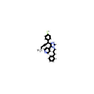 CCC#CC(c1ccc(F)cc1)c1ncn(CCCc2ccccc2)c1-c1ccncc1